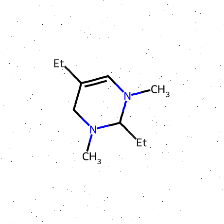 CCC1=CN(C)C(CC)N(C)C1